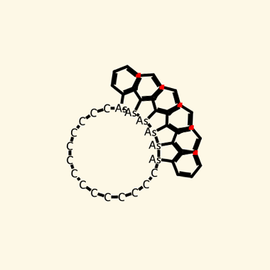 c1ccc([As]2CCCCCCCCCCCCCC[As](c3ccccc3)[As](c3ccccc3)[As](c3ccccc3)[As](c3ccccc3)[As]2c2ccccc2)cc1